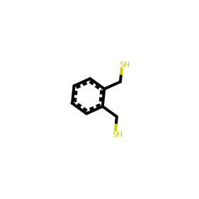 SCc1c[c]ccc1CS